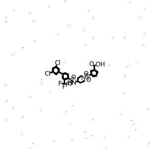 O=C(O)c1cccc(S(=O)(=O)N2CCC(NS(=O)(=O)c3ccc(-c4cc(Cl)cc(Cl)c4)cc3C(F)(F)F)CC2)c1